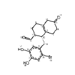 O=CN1CCC2=C(CCC(=O)C2)[C@@H]1Cc1cc(O)c(O)cc1Br